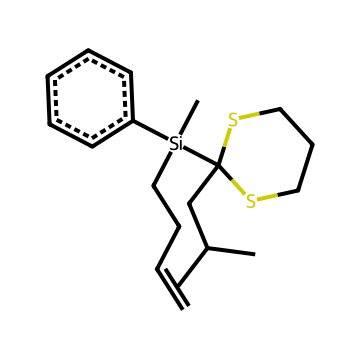 C=CCC[Si](C)(c1ccccc1)C1(CC(C)C)SCCCS1